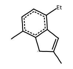 CCc1ccc(C)c2c1C=C(C)[CH]2